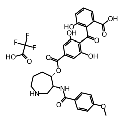 COc1ccc(C(=O)N[C@H]2CNCCC[C@@H]2OC(=O)c2cc(O)c(C(=O)c3c(O)cccc3C(=O)O)c(O)c2)cc1.O=C(O)C(F)(F)F